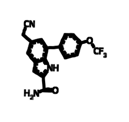 N#CCc1cc(-c2ccc(OC(F)(F)F)cc2)c2[nH]c(C(N)=O)cc2c1